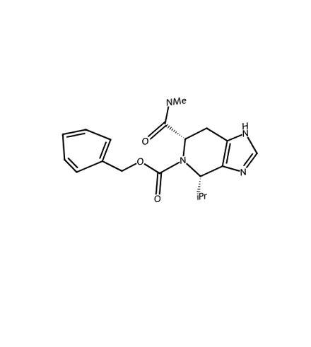 CNC(=O)[C@@H]1Cc2[nH]cnc2[C@H](C(C)C)N1C(=O)OCc1ccccc1